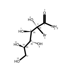 NC(=O)[C@@](O)(Br)[C@H](O)[C@H](O)[C@H](O)CO